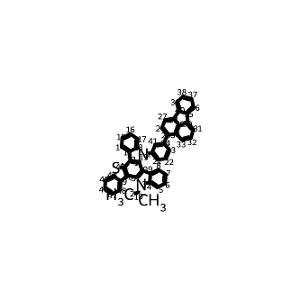 CC(C)n1c2ccccc2c2c3c(c4ccccc4n3-c3cccc(-c4ccc5c6c(cccc46)-c4ccccc4-5)c3)c3sc4ccccc4c3c21